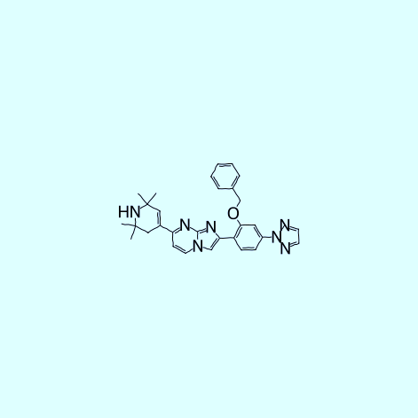 CC1(C)C=C(c2ccn3cc(-c4ccc(-n5nccn5)cc4OCc4ccccc4)nc3n2)CC(C)(C)N1